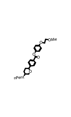 CCCCCC1CCC(c2ccc(C(=O)Oc3ccc(OCCOC)cc3)cc2)OC1